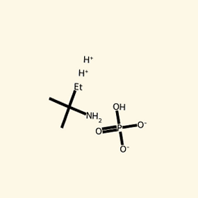 CCC(C)(C)N.O=P([O-])([O-])O.[H+].[H+]